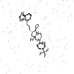 O=C1[C@@H](CCCc2cccc3ncnn23)C[C@H]2CN(c3ccc(C(F)(F)F)cn3)CCN12